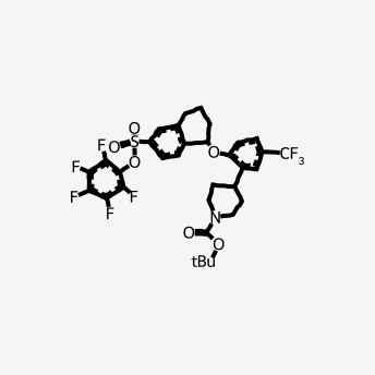 CC(C)(C)OC(=O)N1CCC(c2cc(C(F)(F)F)ccc2OC2CCCc3cc(S(=O)(=O)Oc4c(F)c(F)c(F)c(F)c4F)ccc32)CC1